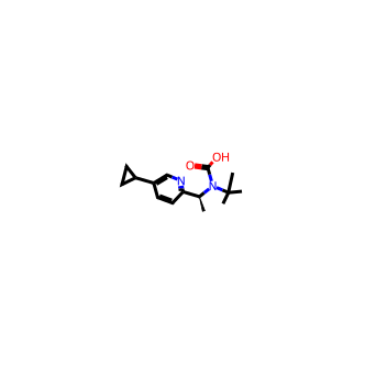 C[C@@H](c1ccc(C2CC2)cn1)N(C(=O)O)C(C)(C)C